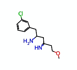 COCCC(=N)CC(N)Cc1cccc(Cl)c1